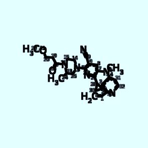 C=Cc1cc(N(C)c2cc(C#N)c(N3CCN(C(=O)CCOC)C(C)C3)nc2C2CC2)ccn1